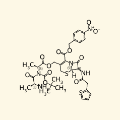 C[C@H](N)C(=O)N(C(=O)OC(C)(C)C)[C@@H](C)C(=O)OCC1=C(C(=O)OCc2ccc([N+](=O)[O-])cc2)N2C(=O)[C@@H](NC(=O)Cc3cccs3)[C@@H]2SC1